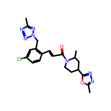 Cc1nnn(Cc2cc(Cl)ccc2/C=C/C(=O)N2CCC(c3nnc(C)o3)CC2C)n1